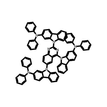 c1ccc(N(c2ccccc2)c2ccc3c4ccccc4n(-c4ccc5nc(-n6c7ccccc7c7ccc(N(c8ccccc8)c8ccccc8)cc76)nc(-n6c7ccccc7c7ccc(N(c8ccccc8)c8ccccc8)cc76)c5c4)c3c2)cc1